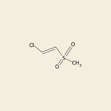 CS(=O)(=O)C=CCl